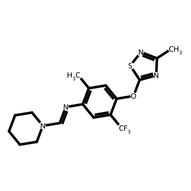 Cc1nsc(Oc2cc(C)c(/N=C/N3CCCCC3)cc2C(F)(F)F)n1